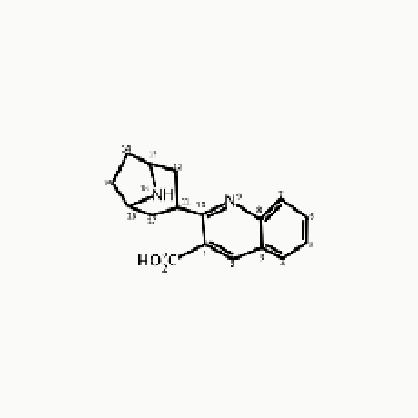 O=C(O)c1cc2ccccc2nc1C1CC2CCC(C1)N2